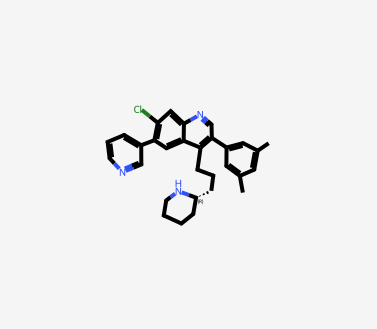 Cc1cc(C)cc(-c2cnc3cc(Cl)c(-c4cccnc4)cc3c2CCC[C@@H]2CCCCN2)c1